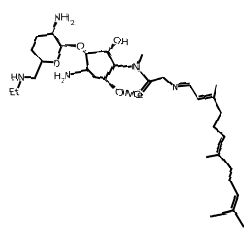 CCNCC1CC[C@@H](N)[C@@H](O[C@H]2C(N)C[C@H](OC)C(N(C)C(=O)C/N=C/C=C(\C)CC/C=C(\C)CCC=C(C)C)[C@@H]2O)O1